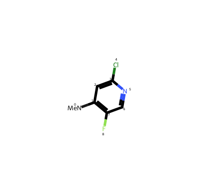 CNc1cc(Cl)ncc1F